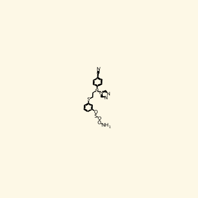 N#Cc1ccc(N(CCSc2cccc(OSOON)c2)n2cnnc2)cc1